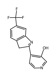 Oc1cnccc1C1=Nc2cc(C(F)(F)F)ccc2C1